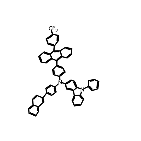 FC(F)(F)c1ccc(-c2c3ccccc3c(-c3ccc(N(c4ccc(-c5ccc6ccccc6c5)cc4)c4ccc5c(c4)c4ccccc4n5-c4ccccc4)cc3)c3ccccc23)cc1